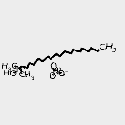 CCCCCCCCCCCCCCCCCCC[N+](C)(C)O.O=[N+]([O-])[O-]